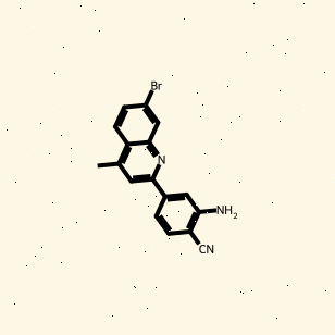 Cc1cc(-c2ccc(C#N)c(N)c2)nc2cc(Br)ccc12